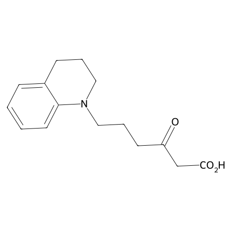 O=C(O)CC(=O)CCCN1CCCc2ccccc21